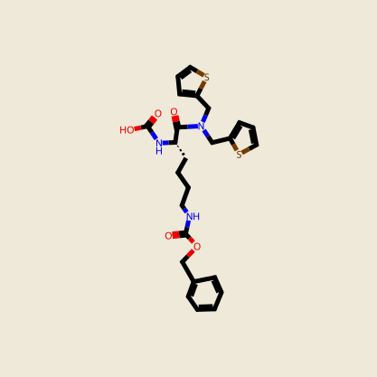 O=C(O)N[C@@H](CCCCNC(=O)OCc1ccccc1)C(=O)N(Cc1cccs1)Cc1cccs1